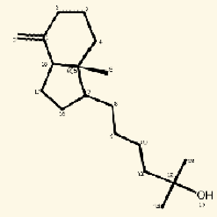 C=C1CCC[C@]2(C)C(CCCCC(C)(C)O)CCC12